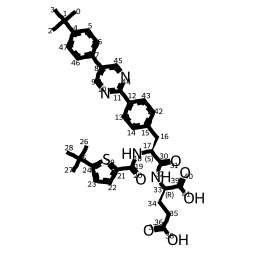 CC(C)(C)c1ccc(-c2cnc(-c3ccc(C[C@H](NC(=O)c4ccc(C(C)(C)C)s4)C(=O)N[C@H](CCC(=O)O)C(=O)O)cc3)nc2)cc1